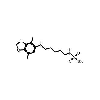 Cc1cc(NCCCCCNS(=O)(=O)C(C)(C)C)c(C)c2c1OCO2